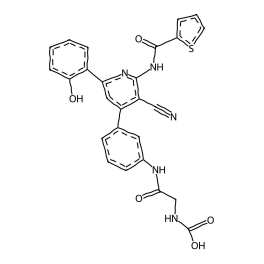 N#Cc1c(-c2cccc(NC(=O)CNC(=O)O)c2)cc(-c2ccccc2O)nc1NC(=O)c1cccs1